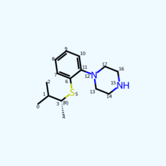 CC(C)[C@@H](C)Sc1ccccc1N1CCNCC1